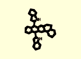 c1ccc2[nH]c(-c3c4ccccc4c(-c4cc5ccccc5[nH]4)c4cc5c(ccc6ccccc65)cc34)cc2c1